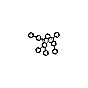 c1ccc(-c2ccc(N3c4cc(-c5ccccc5)c(-c5ccccc5)cc4B4c5cc(-c6ccccc6)ccc5N(c5ccccc5)c5cccc3c54)cc2)cc1